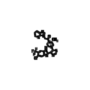 C[C@@H]1CN(c2scnc2-c2nc3cc(Cl)c(C(F)(F)F)cc3[nH]2)CCN1C(=O)Cn1cnc2cccnc21